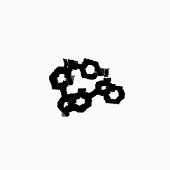 c1cc(NC2CCNCC2)nc(-c2cnc3ccc(-c4cnn5c4CCCC5)nn23)c1